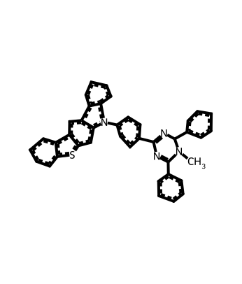 CN1C(c2ccccc2)=NC(c2ccc(-n3c4ccccc4c4cc5c(cc43)sc3ccccc35)cc2)=NC1c1ccccc1